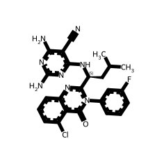 CC(C)C[C@H](Nc1nc(N)nc(N)c1C#N)c1nc2cccc(Cl)c2c(=O)n1-c1cccc(F)c1